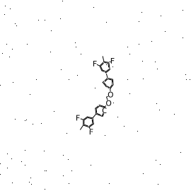 Cc1c(F)cc(-c2ccc(OCOc3ccc(-c4cc(F)c(C)c(F)c4)cc3)cc2)cc1F